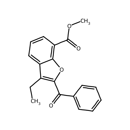 CCc1c(C(=O)c2ccccc2)oc2c(C(=O)OC)cccc12